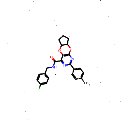 Cc1ccc(-c2nc3c(c(C(=O)NCc4ccc(F)cc4)n2)OC2CCCC2O3)cc1